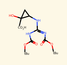 CC(C)(C)OC(=O)/N=C(\NC(=O)OC(C)(C)C)NC1CC1(O)C(=O)O